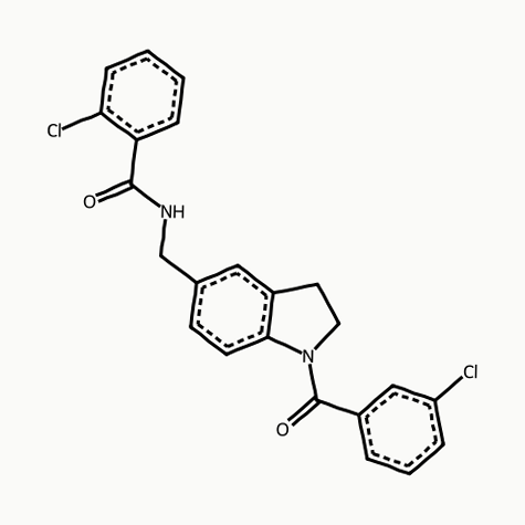 O=C(NCc1ccc2c(c1)CCN2C(=O)c1cccc(Cl)c1)c1ccccc1Cl